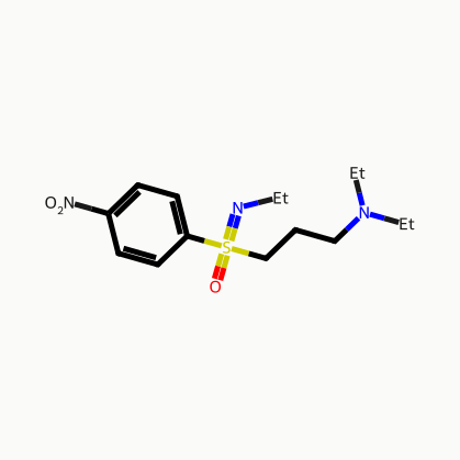 CCN=S(=O)(CCCN(CC)CC)c1ccc([N+](=O)[O-])cc1